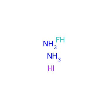 F.I.N.N